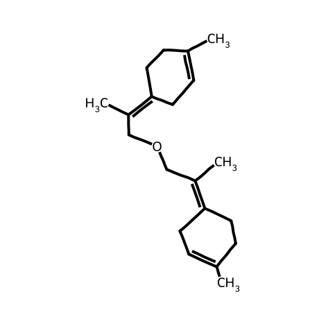 CC1=CCC(=C(C)COCC(C)=C2CC=C(C)CC2)CC1